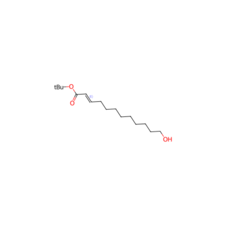 CC(C)(C)OC(=O)/C=C/CCCCCCCCCO